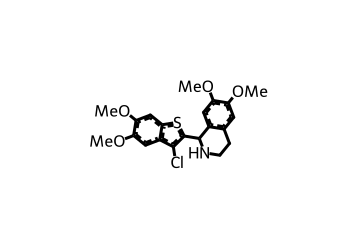 COc1cc2c(cc1OC)C(c1sc3cc(OC)c(OC)cc3c1Cl)NCC2